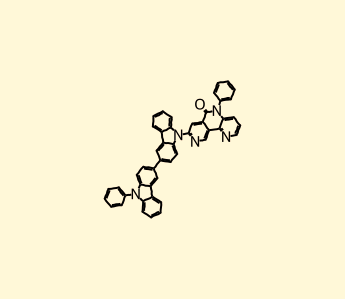 O=c1c2cc(-n3c4ccccc4c4cc(-c5ccc6c(c5)c5ccccc5n6-c5ccccc5)ccc43)ncc2c2ncccc2n1-c1ccccc1